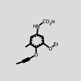 CC#COc1c(C)cc(NC(=O)O)cc1OCC